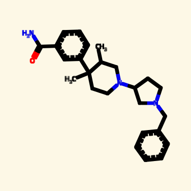 CC1CN(C2CCN(Cc3ccccc3)C2)CCC1(C)c1cccc(C(N)=O)c1